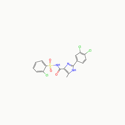 Cc1[nH]c(-c2ccc(Cl)c(Cl)c2)nc1C(=O)NS(=O)(=O)c1ccccc1Cl